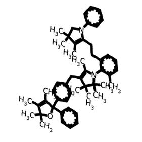 CC1=C(Cc2ccc(C3(c4ccccc4)OC(C)(C)C(C)=C3C)cc2)C(C)(C)C(C)(C)N1c1c(C)cccc1CCC1=C(C)C(C)(C)CN1c1ccccc1